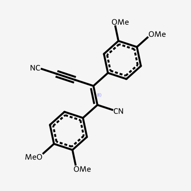 COc1ccc(/C(C#N)=C(\C#CC#N)c2ccc(OC)c(OC)c2)cc1OC